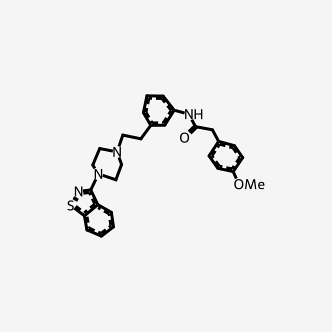 COc1ccc(CC(=O)Nc2cccc(CCN3CCN(c4nsc5ccccc45)CC3)c2)cc1